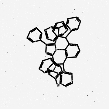 CC(C)c1ccc(-c2nc(-c3ccccc3)c(-c3ccccc3)n2-c2c(C3c4ccccc4-c4ccccc43)cccc2C2c3ccccc3-c3ccccc32)cc1